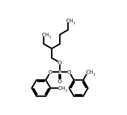 CCCCC(CC)COP(=O)(Oc1ccccc1C)Oc1ccccc1C